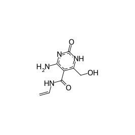 C=CNC(=O)c1c(N)nc(=O)[nH]c1CO